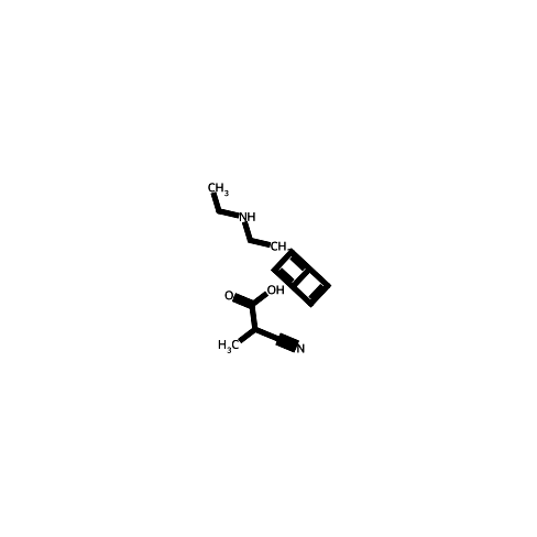 CC(C#N)C(=O)O.CCNCC.c1cc2ccc1-2